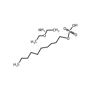 CCCCCCCCCCOS(=O)(=O)O.CCOCC.N